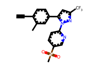 C#Cc1ccc(-c2cc(C(F)(F)F)nn2-c2ccc(S(C)(=O)=O)cn2)cc1C